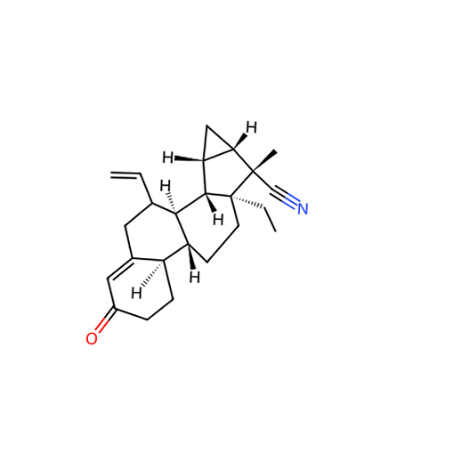 C=CC1CC2=CC(=O)CC[C@@H]2[C@H]2CC[C@@]3(CC)[C@@H]([C@@H]4C[C@@H]4[C@]3(C)C#N)[C@H]12